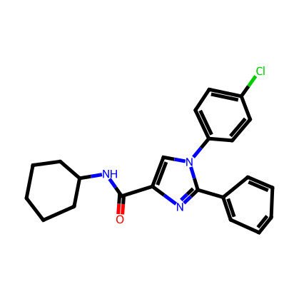 O=C(NC1CCCCC1)c1cn(-c2ccc(Cl)cc2)c(-c2ccccc2)n1